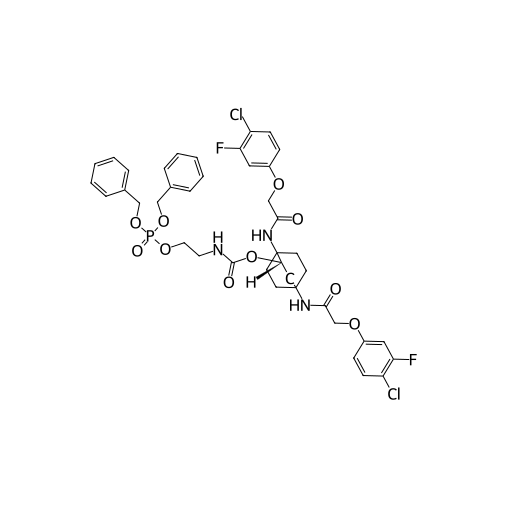 O=C(COc1ccc(Cl)c(F)c1)NC12CCC(NC(=O)COc3ccc(Cl)c(F)c3)(CC1)[C@@H](OC(=O)NCCOP(=O)(OCc1ccccc1)OCc1ccccc1)C2